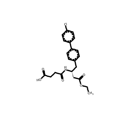 CCOC(=O)C[C@@H](Cc1ccc(-c2ccc(Cl)cc2)cc1)NC(=O)CCC(=O)O